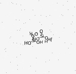 O.O=[Si](O)O.O=[Si](O)O.[Hf]